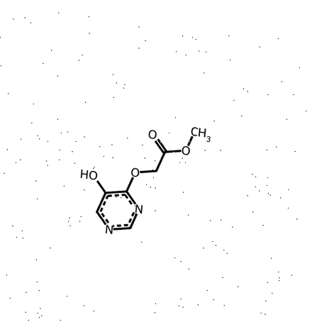 COC(=O)COc1ncncc1O